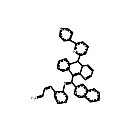 C=C/C=C\c1ccccc1/N=C(/C1=C2C=CC=CC2C(c2cccc(-c3ccncc3)n2)c2ccccc21)c1ccc2ccccc2c1